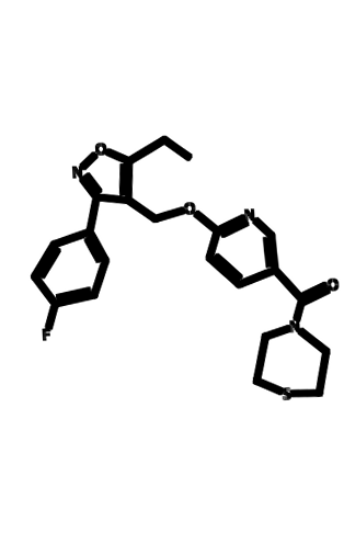 CCc1onc(-c2ccc(F)cc2)c1COc1ccc(C(=O)N2CCSCC2)cn1